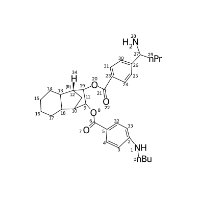 CCCCNc1ccc(C(=O)OC2C3C[C@H](C4CCCCC34)C2OC(=O)c2ccc(C(N)CCC)cc2)cc1